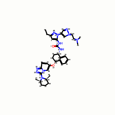 CCc1cc(NC(=O)N[C@H]2CC[C@@H](Oc3ccc4nnc(N5[C@H](C)CCC[C@@H]5C)n4c3)c3ccccc32)n(-c2cnn(CCN(C)C)c2)n1